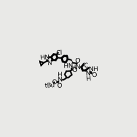 CC(C)(C)OC(=O)NCC1CCC(C(=O)N[C@@H](Cc2ccc(-c3cc4nc(C5CC5)[nH]c4cc3Cl)cc2)C(=O)Nc2ccc3[nH]c(=O)[nH]c3c2)CC1